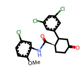 COc1ccc(Cl)cc1NC(=O)[C@@H]1CCC(=O)CC1c1cc(Cl)cc(Cl)c1